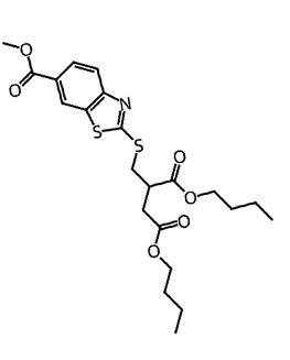 CCCCOC(=O)CC(CSc1nc2ccc(C(=O)OC)cc2s1)C(=O)OCCCC